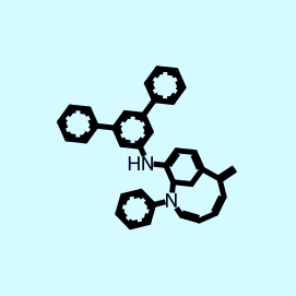 C=C1/C=C\C=C/N(c2ccccc2)C2CC1=CC=C2Nc1cc(-c2ccccc2)cc(-c2ccccc2)c1